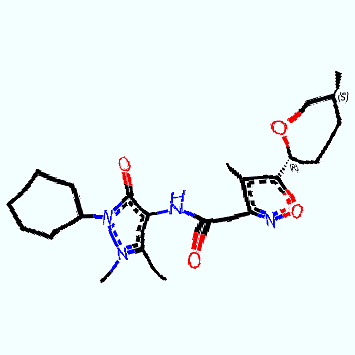 Cc1c(C(=O)Nc2c(C)n(C)n(C3CCCCC3)c2=O)noc1[C@H]1CC[C@H](C)CO1